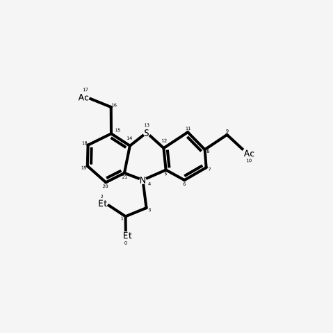 CCC(CC)CN1c2ccc(CC(C)=O)cc2Sc2c(CC(C)=O)cccc21